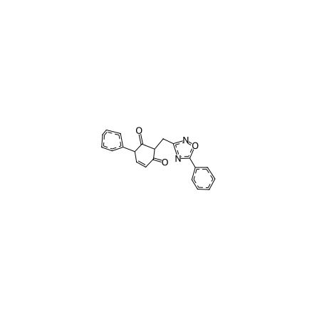 O=C1C=CC(c2ccccc2)C(=O)C1Cc1noc(-c2ccccc2)n1